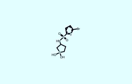 O=S(=O)(NC1CCS(O)(O)C1)c1ccc(Br)s1